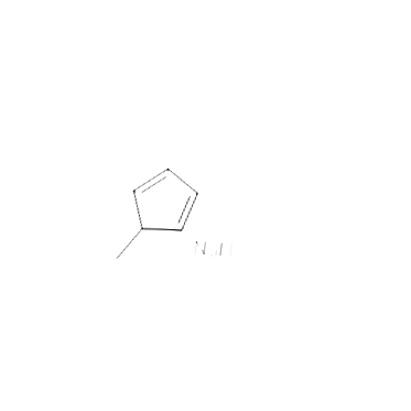 C[C]1C=CC=C1.[NaH]